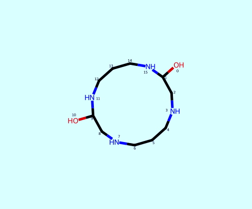 OC1CNCCCNCC(O)NCCCN1